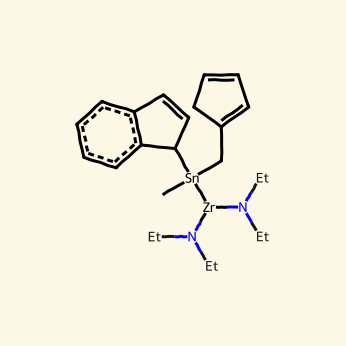 CC[N](CC)[Zr]([N](CC)CC)[Sn]([CH3])([CH2]C1=CC=CC1)[CH]1C=Cc2ccccc21